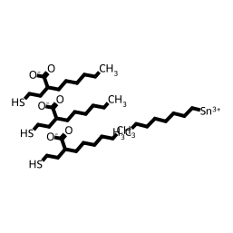 CCCCCCC(CCS)C(=O)[O-].CCCCCCC(CCS)C(=O)[O-].CCCCCCC(CCS)C(=O)[O-].CCCCCCC[CH2][Sn+3]